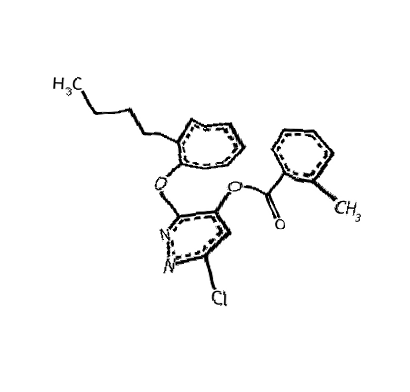 CCCCc1ccccc1Oc1nnc(Cl)cc1OC(=O)c1ccccc1C